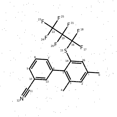 Cc1[c]c(C)c(-c2cccc(C#N)c2)c(SC(F)(F)C(F)(F)C(F)(F)F)c1